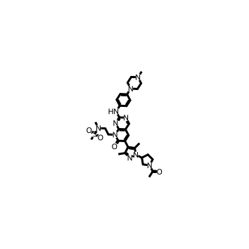 CC(=O)N1CCC(n2nc(C)c(-c3cc4cnc(Nc5ccc(N6CCN(C)CC6)cc5)nc4n(CCN(C)S(C)(=O)=O)c3=O)c2C)C1